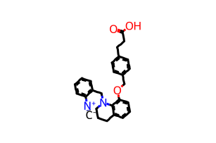 [C-]#[N+]c1ccccc1CN1CCCc2cccc(OCc3ccc(CCC(=O)O)cc3)c21